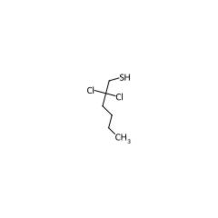 CCCCC(Cl)(Cl)CS